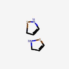 C1=CNSC1.C1=CSNC1